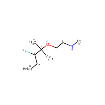 CCNCCOC(C)(C)C(F)CNC(C)=O